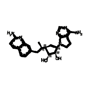 C[C@H](Cc1ccc2ccc(N)nc2c1)[C@H]1C[C@@H](N2CCc3c(N)ncnc32)[C@H](O)[C@@H]1O